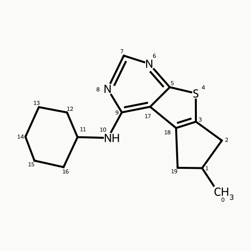 CC1Cc2sc3ncnc(NC4CCCCC4)c3c2C1